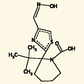 CC(C)(C)C1(c2nc(/C=N\O)cs2)CCCCN1C(=O)O